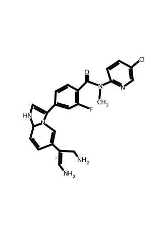 CN(C(=O)c1ccc(C2=CNC3C=CC(/C(=C/N)CN)=CN23)cc1F)c1ccc(Cl)cn1